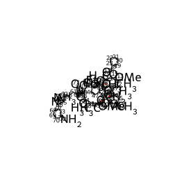 CC[C@H]1OC(=O)[C@H](C)[C@@H](O[C@H]2C[C@@](C)(OC)[C@@H](OC(=O)c3ccccc3)[C@H](C)O2)[C@H](C)[C@@H](O[C@@H]2O[C@H](C)C[C@H](C)[C@H]2OC(=O)c2ccccc2)[C@@](C)(OC)C[C@@H](C)C(=O)[C@H](C)[C@@H]2N(CCCCn3cc(-c4cccc(N)c4)nn3)C(=O)O[C@@]21C